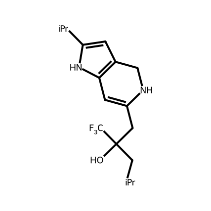 CC(C)CC(O)(CC1=Cc2[nH]c(C(C)C)cc2CN1)C(F)(F)F